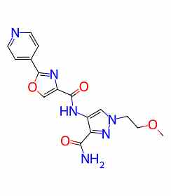 COCCn1cc(NC(=O)c2coc(-c3ccncc3)n2)c(C(N)=O)n1